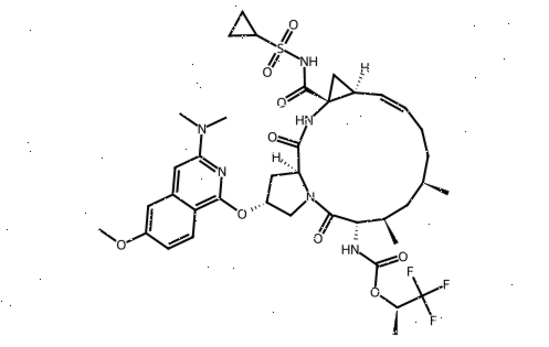 COc1ccc2c(O[C@@H]3C[C@H]4C(=O)N[C@]5(C(=O)NS(=O)(=O)C6CC6)C[C@H]5/C=C\CC[C@@H](C)C[C@@H](C)[C@H](NC(=O)O[C@H](C)C(F)(F)F)C(=O)N4C3)nc(N(C)C)cc2c1